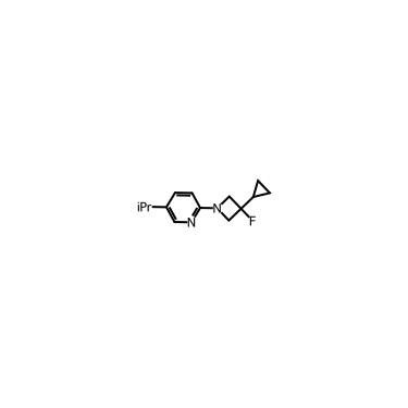 CC(C)c1ccc(N2CC(F)(C3CC3)C2)nc1